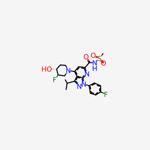 CC(C)c1nn(-c2ccc(F)cc2)c2nc(C(=O)NS(C)(=O)=O)cc(N3CC[C@@H](O)[C@H](F)C3)c12